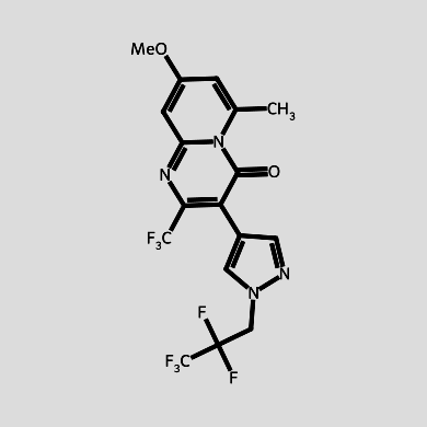 COc1cc(C)n2c(=O)c(-c3cnn(CC(F)(F)C(F)(F)F)c3)c(C(F)(F)F)nc2c1